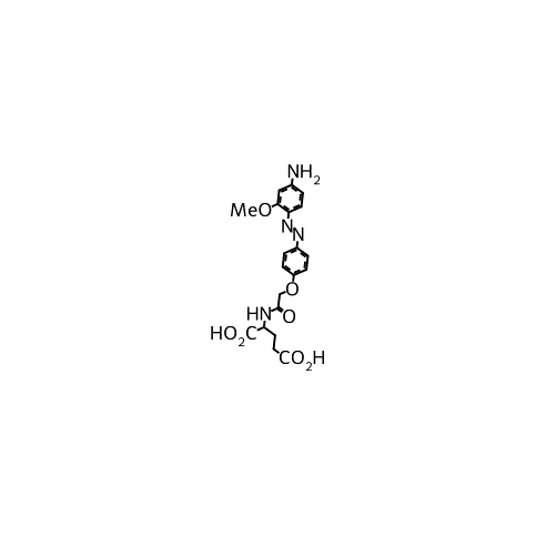 COc1cc(N)ccc1/N=N/c1ccc(OCC(=O)NC(CCC(=O)O)C(=O)O)cc1